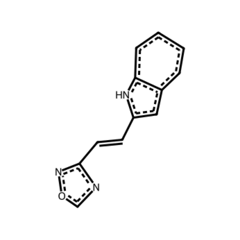 C(=Cc1cc2ccccc2[nH]1)c1ncon1